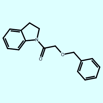 O=C(COCc1ccccc1)N1CCc2ccccc21